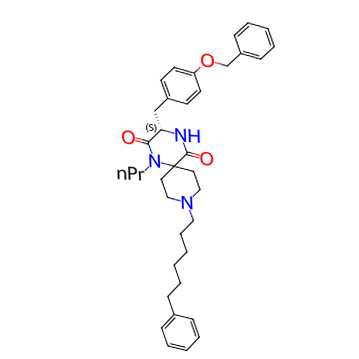 CCCN1C(=O)[C@H](Cc2ccc(OCc3ccccc3)cc2)NC(=O)C12CCN(CCCCCCc1ccccc1)CC2